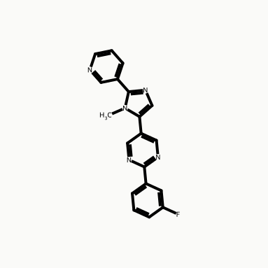 Cn1c(-c2cnc(-c3cccc(F)c3)nc2)cnc1-c1cccnc1